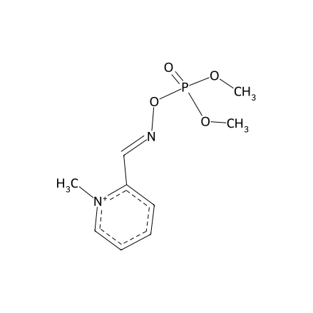 COP(=O)(OC)O/N=C/c1cccc[n+]1C